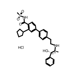 C[C@H](NCCc1ccc(-c2ccc(C(=O)NS(C)(=O)=O)c(C3CCCC3)c2)cc1)[C@@H](O)c1ccccc1.Cl